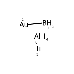 [AlH3].[BH2][Au].[Ti]